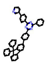 c1ccc(-c2nc(-c3ccc(-c4cccnc4)cc3)nc(-c3ccc(-c4ccc5c(c4)C(c4ccccc4)(c4ccccc4)c4ccccc4-5)cc3)n2)cc1